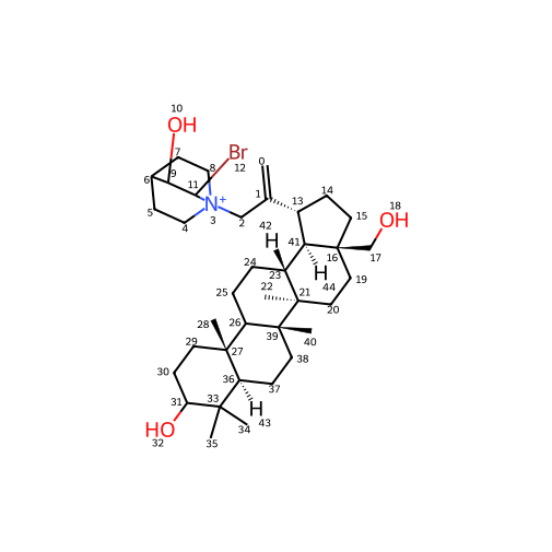 C=C(C[N+]12CCC(CC1)C(O)C2Br)[C@@H]1CC[C@]2(CO)CC[C@]3(C)[C@H](CCC4[C@@]5(C)CCC(O)C(C)(C)[C@@H]5CC[C@]43C)[C@@H]12